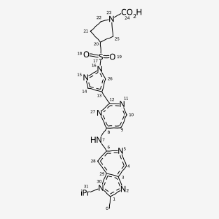 Cc1nc2cnc(Nc3ccnc(-c4cnn(S(=O)(=O)C5CCN(C(=O)O)C5)c4)n3)cc2n1C(C)C